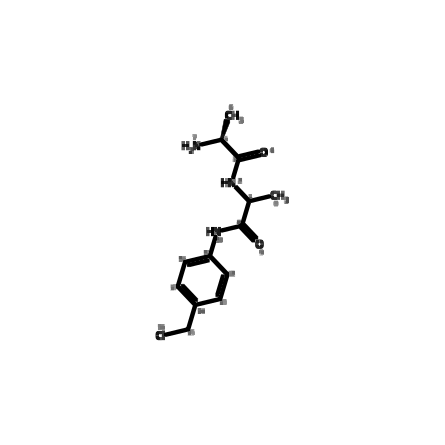 CC(NC(=O)[C@H](C)N)C(=O)Nc1ccc(CCl)cc1